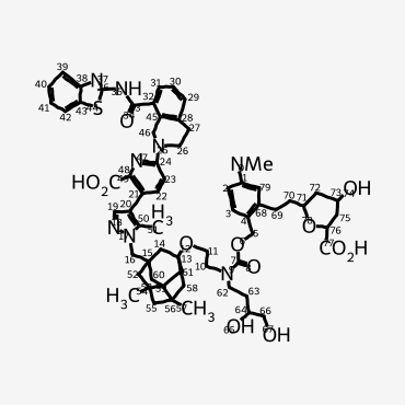 CNc1ccc(COC(=O)N(CCOC23CC4(Cn5ncc(-c6ccc(N7CCc8cccc(C(=O)Nc9nc%10ccccc%10s9)c8C7)nc6C(=O)O)c5C)CC5(C)CC(C)(C2)C5(C4)C3)CCC(O)CO)c(CCC2CC(O)CC(C(=O)O)O2)c1